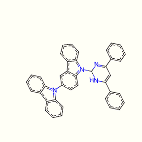 C1=C(c2ccccc2)NC(n2c3ccccc3c3cc(-n4c5ccccc5c5ccccc54)ccc32)N=C1c1ccccc1